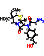 CSCC1(C(=O)O)CS[C@@H]2C(N(C(=O)CN)c3ccc(CO)cc3)C(=O)N2C1